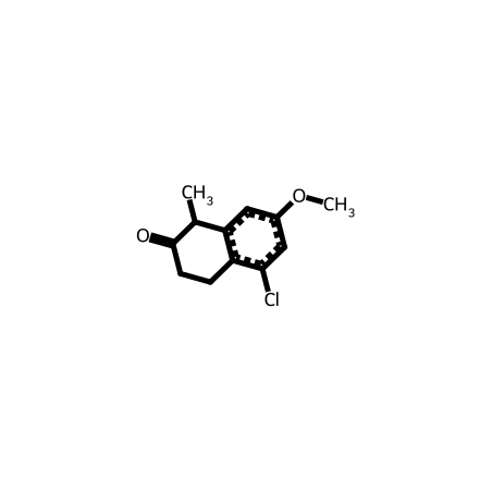 COc1cc(Cl)c2c(c1)C(C)C(=O)CC2